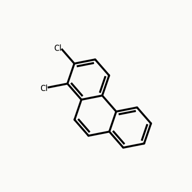 Clc1ccc2c(ccc3ccccc32)c1Cl